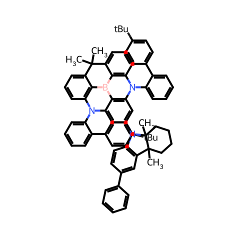 CC(C)(C)c1ccc(-c2ccccc2N2c3cc(N4c5ccc(-c6ccccc6)cc5C5(C)CCCCC45C)cc4c3B3c5c2cccc5C(C)(C)c2cccc(c23)N4c2ccccc2-c2ccc(C(C)(C)C)cc2)cc1